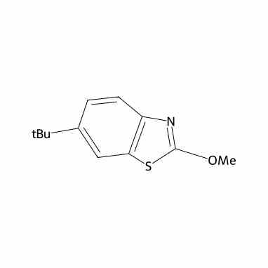 COc1nc2ccc(C(C)(C)C)cc2s1